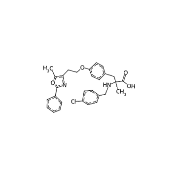 Cc1oc(-c2ccccc2)nc1CCOc1ccc(CC(C)(NCc2ccc(Cl)cc2)C(=O)O)cc1